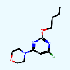 CCCCOc1nc(Cl)cc(N2CCOCC2)n1